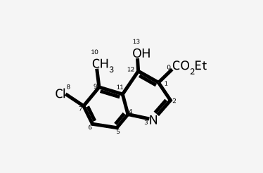 CCOC(=O)c1cnc2ccc(Cl)c(C)c2c1O